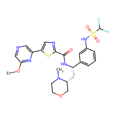 CCOc1cncc(-c2cnc(C(=O)N[C@@H](C[C@@H]3COCCN3C)c3cccc(NS(=O)(=O)C(F)F)c3)s2)n1